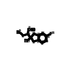 CCC1(C(C=O)CBr)Cc2ccc(F)cc2C1